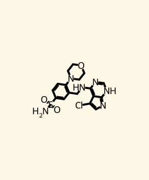 NS(=O)(=O)c1ccc(N2CCOCC2)c(CNc2nc[nH]c3ncc(Cl)c2-3)c1